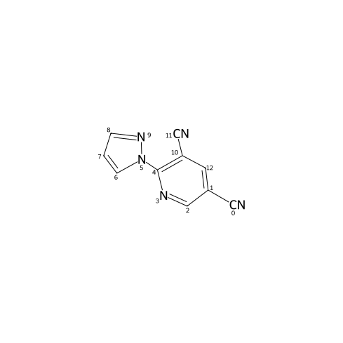 N#Cc1cnc(-n2cccn2)c(C#N)c1